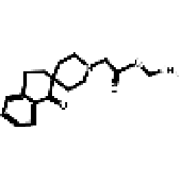 CCOC(=O)CN1CCC2(CCc3ccccc3C2=O)CC1